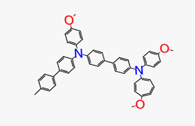 COC1=C=CC=C(N(c2ccc(OC)cc2)c2ccc(-c3ccc(N(c4ccc(OC)cc4)c4ccc(-c5ccc(C)cc5)cc4)cc3)cc2)C=C1